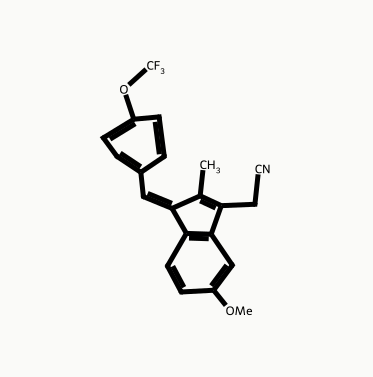 COc1ccc2c(c1)C(CC#N)=C(C)C2=Cc1ccc(OC(F)(F)F)cc1